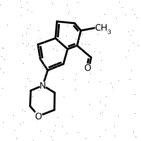 Cc1ccc2ccc(N3CCOCC3)cc2c1C=O